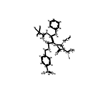 CCS[C@@H]1[C@@H]([C@@H](C)O)C(=O)N1C(C(=O)OCc1ccc([N+](=O)[O-])cc1)=C(Oc1ccccc1)SC(=O)C(C)(C)C